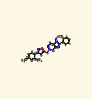 Oc1ccccc1-c1nc2c([nH]1)C=NN(Cc1cc(-c3ccc(C(F)(F)F)cc3C(F)(F)F)no1)C2